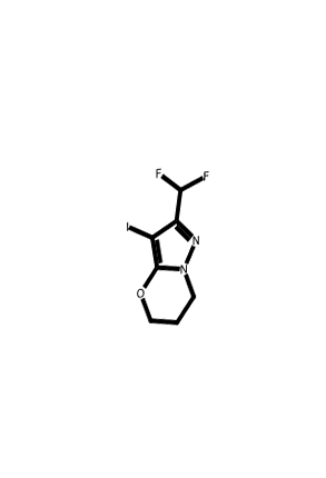 FC(F)c1nn2c(c1I)OCCC2